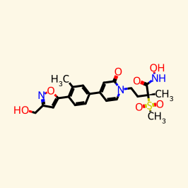 Cc1cc(-c2ccn(CC[C@](C)(C(=O)NO)S(C)(=O)=O)c(=O)c2)ccc1-c1cc(CO)no1